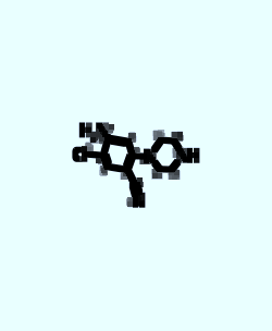 N#Cc1cc(Cl)c(N)cc1N1CCNCC1